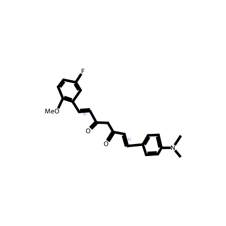 COc1ccc(F)cc1/C=C/C(=O)CC(=O)/C=C/c1ccc(N(C)C)cc1